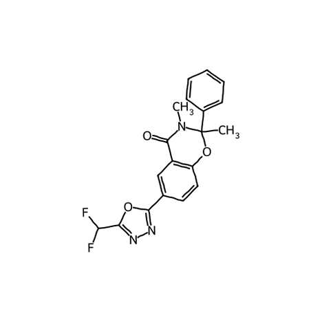 CN1C(=O)c2cc(-c3nnc(C(F)F)o3)ccc2OC1(C)c1ccccc1